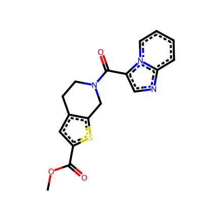 COC(=O)c1cc2c(s1)CN(C(=O)c1cnc3ccccn13)CC2